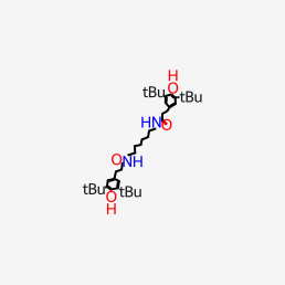 CC(C)(C)c1cc(CCC(=O)NCCCCCCCCNC(=O)CCc2cc(C(C)(C)C)c(O)c(C(C)(C)C)c2)cc(C(C)(C)C)c1O